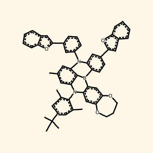 Cc1cc2c3c(c1)N(c1c(C)cc(C(C)(C)C)cc1C)c1cc4c(cc1B3c1ccc(-c3cc5ccccc5o3)cc1N2c1cccc(-c2cc3ccccc3o2)c1)OCCCO4